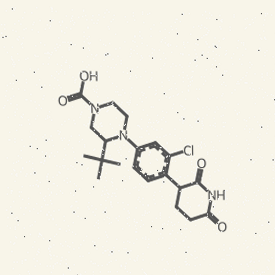 CC(C)(C)C1CN(C(=O)O)CCN1c1ccc(C2CCC(=O)NC2=O)c(Cl)c1